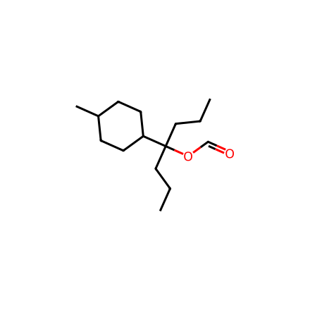 CCCC(CCC)(OC=O)C1CCC(C)CC1